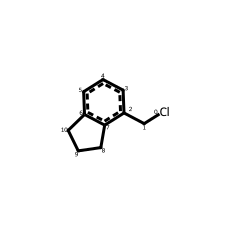 ClCc1cccc2c1CCC2